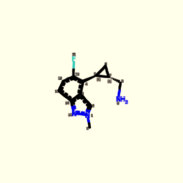 Cn1cc2c([C@H]3C[C@@H]3CN)c(F)ccc2n1